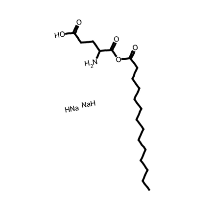 CCCCCCCCCCCCCC(=O)OC(=O)C(N)CCC(=O)O.[NaH].[NaH]